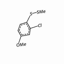 COc1ccc(SSC)c(Cl)c1